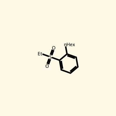 CCCCCCc1ccccc1S(=O)(=O)CC